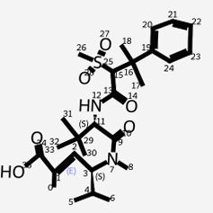 C/C(=C\[C@H](C(C)C)N(C)C(=O)[C@@H](NC(=O)C(C(C)(C)c1ccccc1)S(C)(=O)=O)C(C)(C)C)C(=O)O